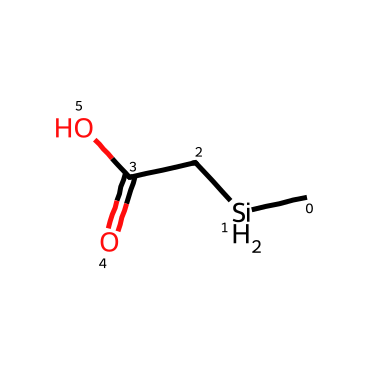 C[SiH2]CC(=O)O